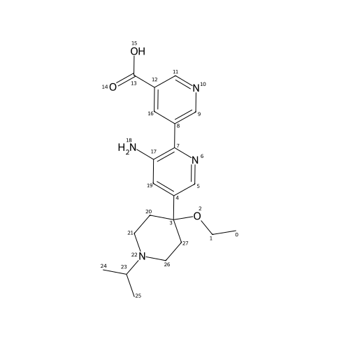 CCOC1(c2cnc(-c3cncc(C(=O)O)c3)c(N)c2)CCN(C(C)C)CC1